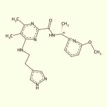 COc1cccc([C@@H](C)NC(=O)c2nc(C)c(C)c(NCCc3cn[nH]c3)n2)n1